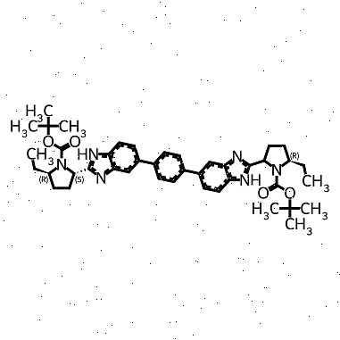 CC[C@@H]1CCC(c2nc3cc(-c4ccc(-c5ccc6[nH]c([C@@H]7CC[C@@H](CC)N7C(=O)OC(C)(C)C)nc6c5)cc4)ccc3[nH]2)N1C(=O)OC(C)(C)C